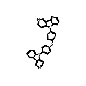 c1ccc2c(c1)c1cnccc1n2-c1ccc(Sc2ccc(-n3c4ccccc4c4cnccc43)cc2)cc1